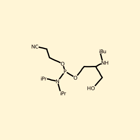 CCC(C)NC(CO)COP(OCCC#N)N(C(C)C)C(C)C